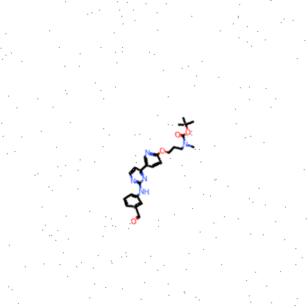 CN(CCCOc1ccc(-c2ccnc(Nc3cccc(C=O)c3)n2)cn1)C(=O)OC(C)(C)C